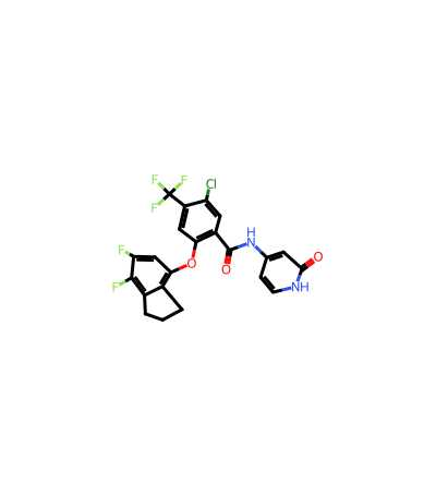 O=C(Nc1cc[nH]c(=O)c1)c1cc(Cl)c(C(F)(F)F)cc1Oc1cc(F)c(F)c2c1CCC2